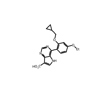 CCOc1ccc(-c2ncnc3c(C(=O)O)c[nH]c23)c(OCC2CC2)c1